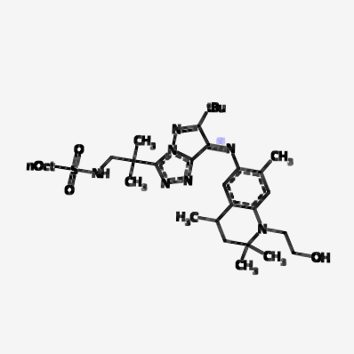 CCCCCCCCS(=O)(=O)NCC(C)(C)c1nnc2n1N=C(C(C)(C)C)/C2=N/c1cc2c(cc1C)N(CCO)C(C)(C)CC2C